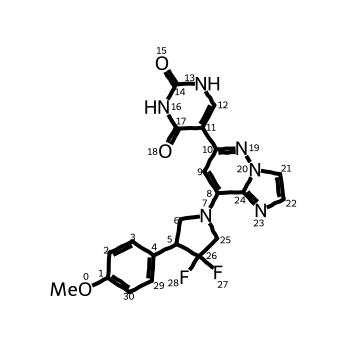 COc1ccc(C2CN(c3cc(-c4c[nH]c(=O)[nH]c4=O)nn4ccnc34)CC2(F)F)cc1